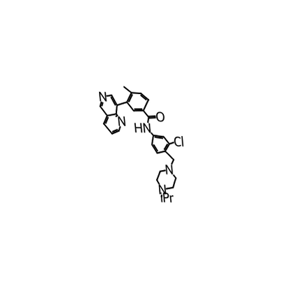 Cc1ccc(C(=O)Nc2ccc(CN3CCN(C(C)C)CC3)c(Cl)c2)cc1-c1cncc2cccnc12